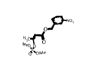 COP(=O)(OC)OC(C)=CC(=O)OCc1cccc([N+](=O)[O-])c1